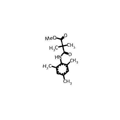 COC(=O)C(C)(C)C(=O)Nc1c(C)cc(C)cc1C